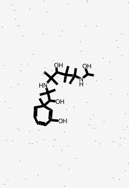 CC(O)NC(C)(C)C(C)(C)C(O)C(C)(C)NC(C)(C)C(O)C1(C)C=CC=CC(O)=C1